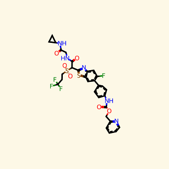 O=C(CNC(=O)C(c1nc2cc(F)c(-c3ccc(NC(=O)OCc4ccccn4)cc3)cc2s1)S(=O)(=O)CCC(F)(F)F)NC1CC1